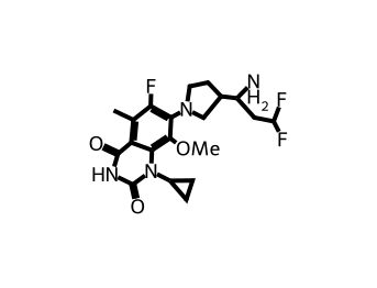 COc1c(N2CCC(C(N)CC(F)F)C2)c(F)c(C)c2c(=O)[nH]c(=O)n(C3CC3)c12